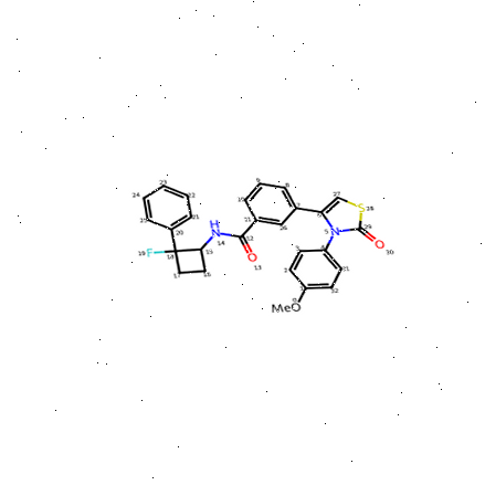 COc1ccc(-n2c(-c3cccc(C(=O)NC4CCC4(F)c4ccccc4)c3)csc2=O)cc1